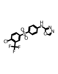 O=S(=O)(c1ccc(Nc2nnco2)cc1)c1ccc(Cl)c(C(F)(F)F)c1